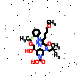 CCOCC(O)[C@@H]1C[C@H](N(CC(C)C)C(=O)c2nnn(-c3ccccc3F)c2CCCCOC)CN(C(=O)O)C1